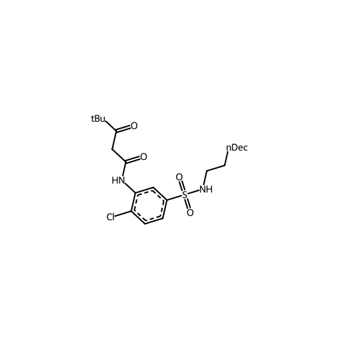 CCCCCCCCCCCCNS(=O)(=O)c1ccc(Cl)c(NC(=O)CC(=O)C(C)(C)C)c1